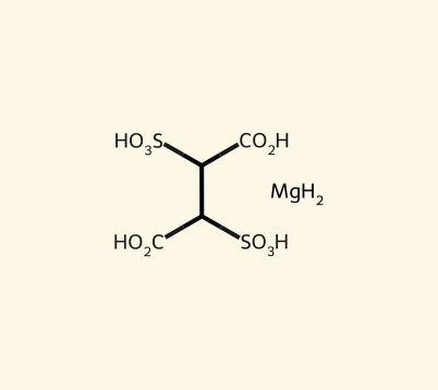 O=C(O)C(C(C(=O)O)S(=O)(=O)O)S(=O)(=O)O.[MgH2]